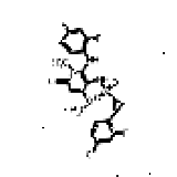 COc1cc(=O)n(C)c(Nc2ccc(I)cc2F)c1NS(=O)(=O)C1CC1c1ccc(Cl)cc1F